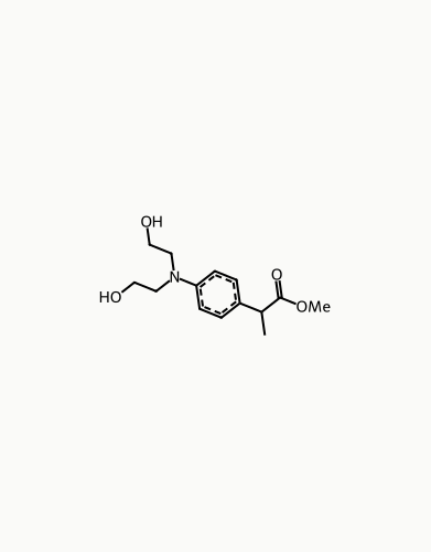 COC(=O)C(C)c1ccc(N(CCO)CCO)cc1